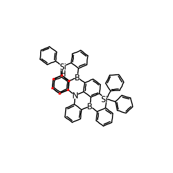 c1ccc([SiH](c2ccccc2)c2ccccc2B2c3ccccc3N3c4ccccc4B4c5ccccc5[Si](c5ccccc5)(c5ccccc5)c5ccc2c3c54)cc1